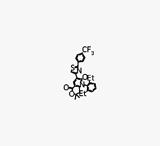 CCc1cccc(CC)c1-n1c2c(cc(-c3csc(-c4ccc(C(F)(F)F)cc4)n3)c1=O)C(=O)OC(C)(C)C2